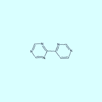 [c]1nccc(-c2ncncn2)n1